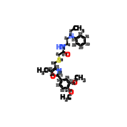 CCN(CCNC(=O)CSCc1nc(-c2ccc(OC)c(OC)c2)oc1C)c1ccccc1